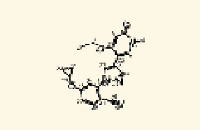 CCOc1cc(=O)n(C)cc1-c1cnn(-c2cc(OC3CC3)ccc2C#N)c1